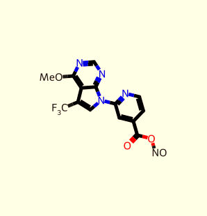 COc1ncnc2c1c(C(F)(F)F)cn2-c1cc(C(=O)ON=O)ccn1